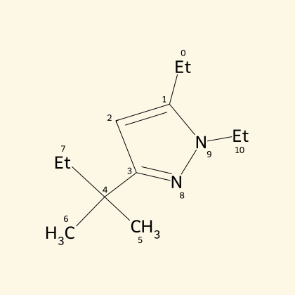 CCc1cc(C(C)(C)CC)nn1CC